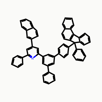 c1ccc(-c2cc(-c3ccc(C4(c5ccccc5)c5ccccc5-c5c4ccc4ccccc54)cc3)cc(-c3cc(-c4ccc5ccccc5c4)cc(-c4ccccc4)n3)c2)cc1